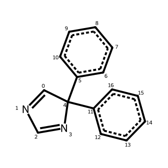 C1=NC=NC1(c1ccccc1)c1ccccc1